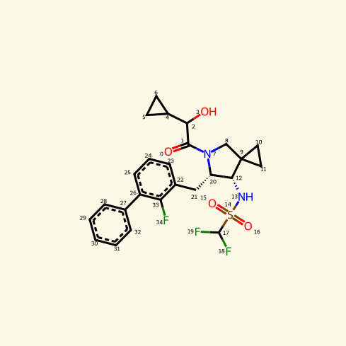 O=C(C(O)C1CC1)N1CC2(CC2)[C@H](NS(=O)(=O)C(F)F)[C@@H]1Cc1cccc(-c2ccccc2)c1F